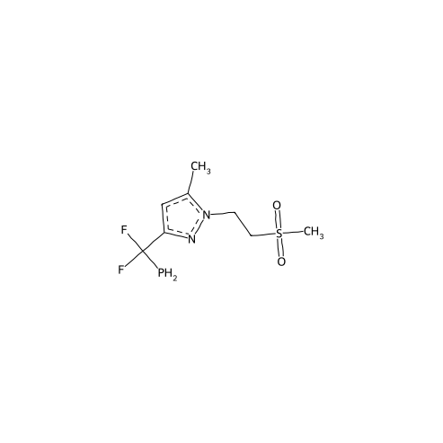 Cc1cc(C(F)(F)P)nn1CCS(C)(=O)=O